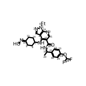 CCn1ncc2c(NC3CCC(=NO)CC3)c(C(=O)NC(C)c3ccc(OC(F)F)cc3)cnc21